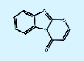 O=c1ccsc2nc3ccccc3n12